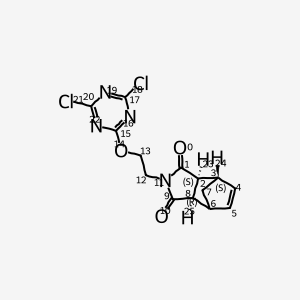 O=C1[C@H]2[C@@H]3C=CC(C3)[C@H]2C(=O)N1CCOc1nc(Cl)nc(Cl)n1